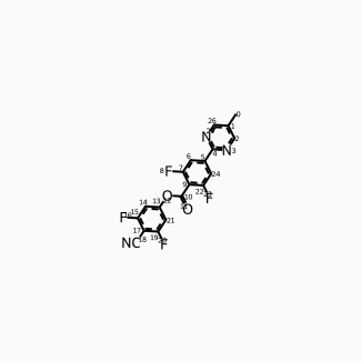 Cc1cnc(-c2cc(F)c(C(=O)Oc3cc(F)c(C#N)c(F)c3)c(F)c2)nc1